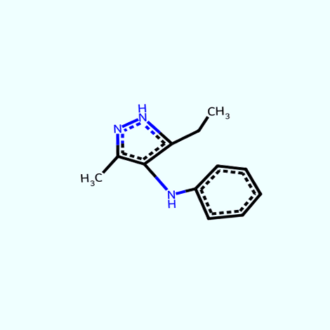 CCc1[nH]nc(C)c1Nc1ccccc1